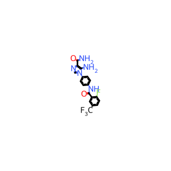 NC(=O)c1ncn(-c2ccc(NC(=O)c3cc(C(F)(F)F)ccc3F)cc2)c1N